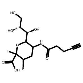 C#CCCC(=O)NC1CC(F)C(F)(C(=O)O)OC1[C@H](O)[C@H](O)CO